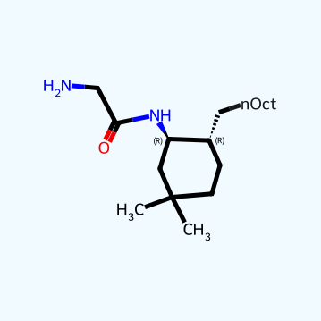 CCCCCCCCC[C@@H]1CCC(C)(C)C[C@H]1NC(=O)CN